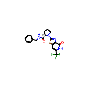 O=C(NCc1ccccc1)[C@H]1CCCN1c1nc2c(=O)[nH]c(C(F)(F)F)cc2s1